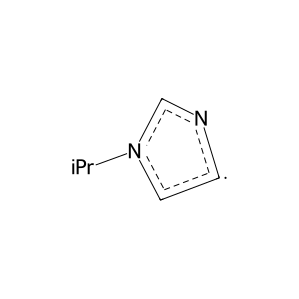 CC(C)n1c[c]nc1